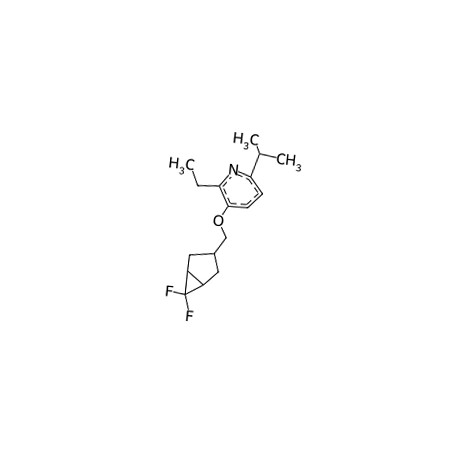 CCc1nc(C(C)C)ccc1OCC1CC2C(C1)C2(F)F